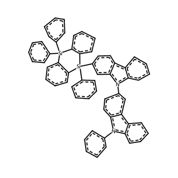 c1ccc(-n2c3ccccc3c3cc(-n4c5ccccc5c5ccc([Si]6(c7ccccc7)c7ccccc7[Si](c7ccccc7)(c7ccccc7)c7ccccc76)cc54)ccc32)cc1